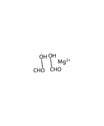 O=[C-]O.O=[C-]O.[Mg+2]